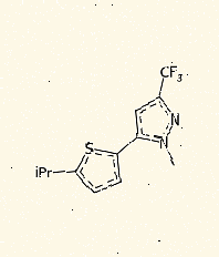 CC(C)c1ccc(-c2cc(C(F)(F)F)nn2C)s1